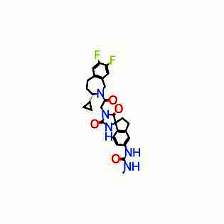 CNC(=O)Nc1ccc2c(c1)CCC21NC(=O)N(CC(=O)N2Cc3cc(F)c(F)cc3CC[C@H]2C2CC2)C1=O